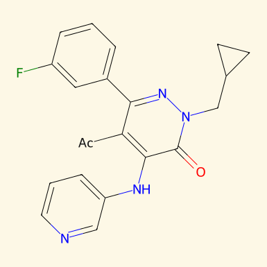 CC(=O)c1c(-c2cccc(F)c2)nn(CC2CC2)c(=O)c1Nc1cccnc1